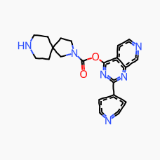 O=C(Oc1nc(-c2ccncc2)nc2cnccc12)N1CCC2(CCNCC2)C1